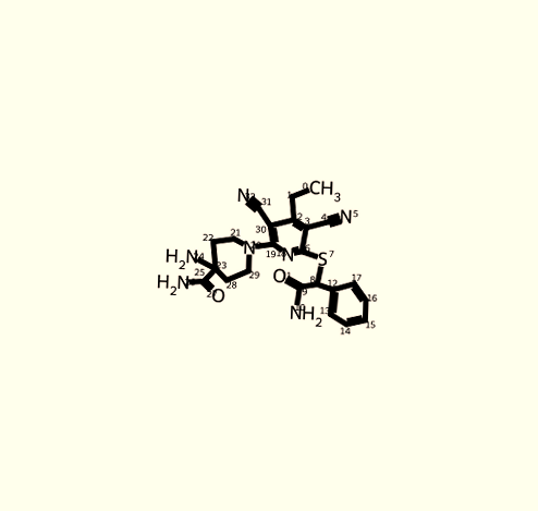 CCc1c(C#N)c(SC(C(N)=O)c2ccccc2)nc(N2CCC(N)(C(N)=O)CC2)c1C#N